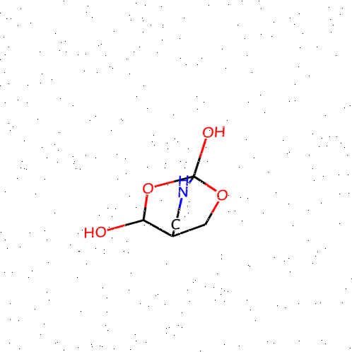 OC1OC2(O)NCC1CO2